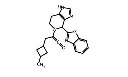 CC1CC(CC(=C=O)N2CCc3[nH]cnc3[C@H]2c2nc3ccccc3s2)C1